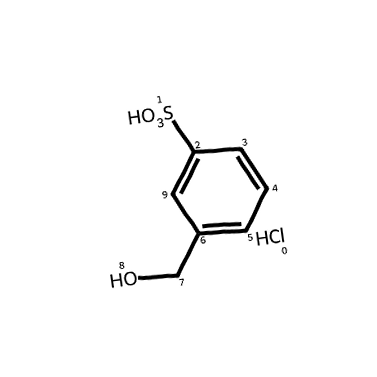 Cl.O=S(=O)(O)c1cccc(CO)c1